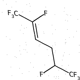 FC(=CCC(F)C(F)(F)F)C(F)(F)F